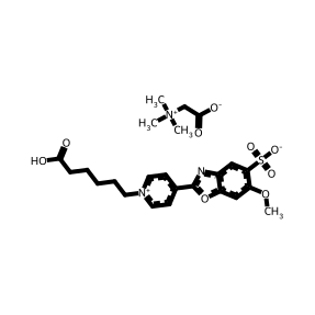 COc1cc2oc(-c3cc[n+](CCCCCC(=O)O)cc3)nc2cc1S(=O)(=O)[O-].C[N+](C)(C)CC(=O)[O-]